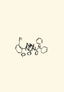 COc1cccc(F)c1-n1nnn(C(=O)N(c2ccccc2)C2CCCCC2)c1=O